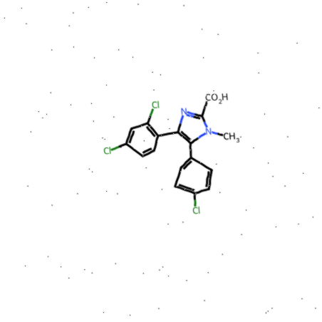 Cn1c(C(=O)O)nc(-c2ccc(Cl)cc2Cl)c1-c1ccc(Cl)cc1